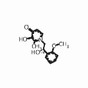 COc1ccccc1[C@H](O)Cn1ccc(=O)c(O)c1C